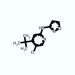 CC(C)(C)c1cc(Nc2ccon2)ncc1Cl